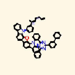 C=C/C=C\C=C(/C)c1cccc(-n2c3ccccc3c3ccc4c5ccc6c7ccccc7n(-c7ccccc7-c7nc(-c8ccccc8)nc(-c8cccc(-c9ccccc9)c8)n7)c6c5oc4c32)c1